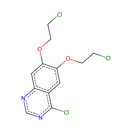 ClCCOc1cc2ncnc(Cl)c2cc1OCCCl